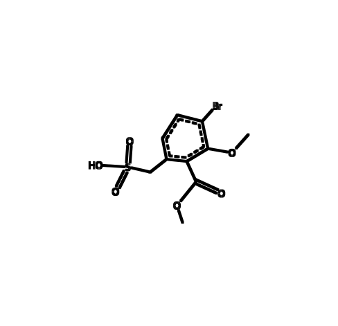 COC(=O)c1c(CS(=O)(=O)O)ccc(Br)c1OC